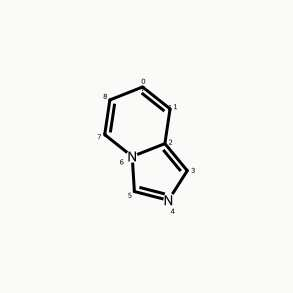 [c]1[c]c2cncn2cc1